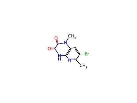 Cc1nc2[nH]c(=O)c(=O)n(C)c2cc1Br